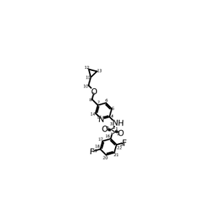 O=S(=O)(Nc1ccc(COCC2CC2)cn1)c1cc(F)ccc1F